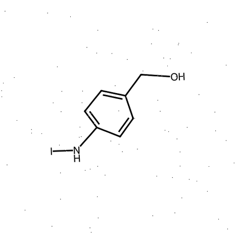 OCc1ccc(NI)cc1